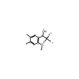 COc1cc(C)c(C)cc1C(O)C(F)(F)F